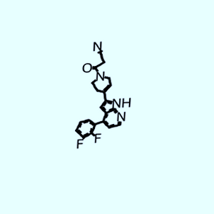 N#CCC(=O)N1CC=C(c2cc3c(-c4cccc(F)c4F)ccnc3[nH]2)CC1